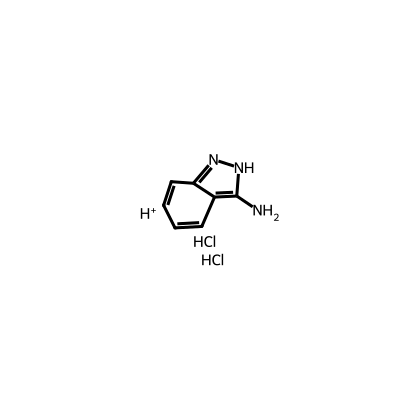 Cl.Cl.Nc1[nH]nc2ccccc12.[H+]